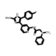 CSc1nc(-c2ccnc(NC(=O)CN(C)c3ccccc3)c2)c(-c2ccc(F)cc2)[nH]1